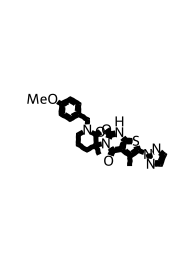 COc1ccc(CN2CCCC(C)(n3c(=O)[nH]c4sc(-n5nccn5)c(C)c4c3=O)C2=O)cc1